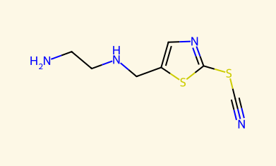 N#CSc1ncc(CNCCN)s1